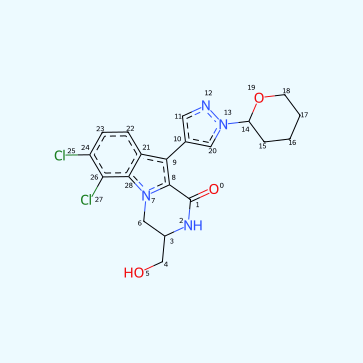 O=C1NC(CO)Cn2c1c(-c1cnn(C3CCCCO3)c1)c1ccc(Cl)c(Cl)c12